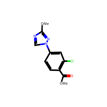 COC(=O)c1ccc(-n2cnc(OC)n2)cc1Cl